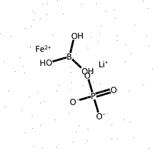 O=P([O-])([O-])[O-].OB(O)O.[Fe+2].[Li+]